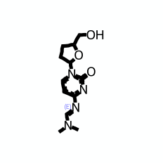 CN(C)/C=N/c1ccn(C2CCC(CO)O2)c(=O)n1